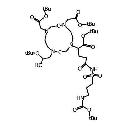 CC(C)(C)OC(=O)CN1CCN(CC(=O)OC(C)(C)C)CCN(C(CCC(=O)NS(=O)(=O)CCCNC(=O)OC(C)(C)C)C(=O)OC(C)(C)C)CCN(CC(O)OC(C)(C)C)CC1